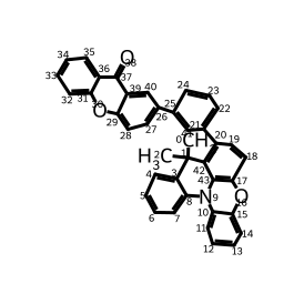 CC1(C)c2ccccc2N2c3ccccc3Oc3ccc(-c4cccc(-c5ccc6oc7ccccc7c(=O)c6c5)c4)c1c32